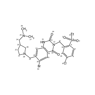 CCS(=O)(=O)c1ccc(Cl)cc1Cn1c(=O)[nH]c2cc(CN3CCC(CN(C)C)C3)c(Br)cc2c1=O